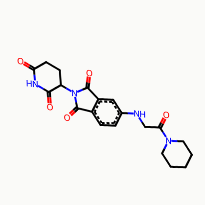 O=C1CCC(N2C(=O)c3ccc(NCC(=O)N4CCCCC4)cc3C2=O)C(=O)N1